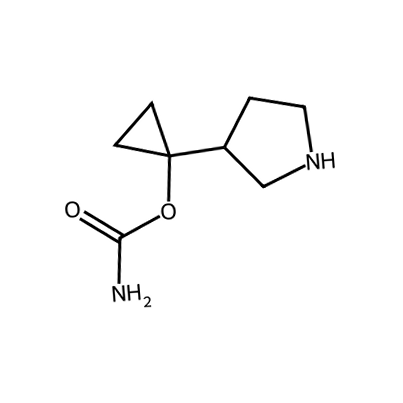 NC(=O)OC1(C2CCNC2)CC1